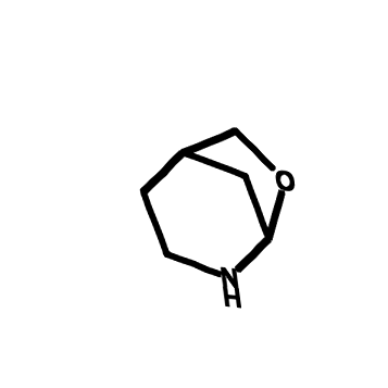 C1CC2COC(C2)N1